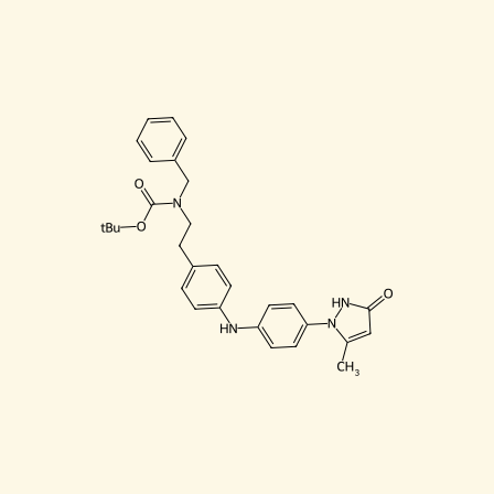 Cc1cc(=O)[nH]n1-c1ccc(Nc2ccc(CCN(Cc3ccccc3)C(=O)OC(C)(C)C)cc2)cc1